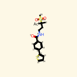 CC(=O)C(C)(CCNC(=O)c1ccc(-c2cccs2)cc1)S(C)(=O)=O